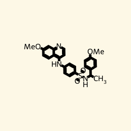 COc1ccc(C(C)NS(=O)(=O)c2ccc(Nc3ccnc4cc(OC)ccc34)cc2)cc1